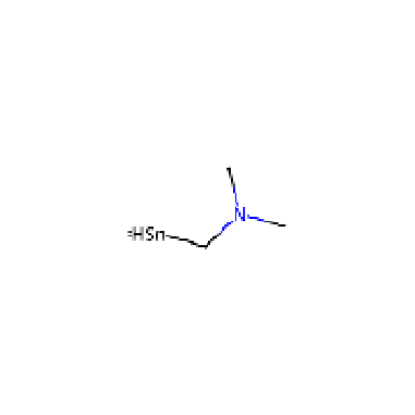 CN(C)[CH2][SnH]